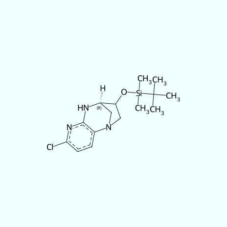 CC(C)(C)[Si](C)(C)OC1CN2C[C@H]1Nc1nc(Cl)ccc12